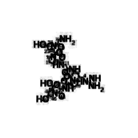 N=C(N)NCCC[C@H](NC(=O)CNC(=O)[C@@H]1CCCN1C(=O)[C@@H]1C[C@@H](O)CN1C(=O)CN)C(=O)N1CCC[C@H]1C(=O)NCC(=O)N1C[C@H](O)C[C@H]1C(=O)O